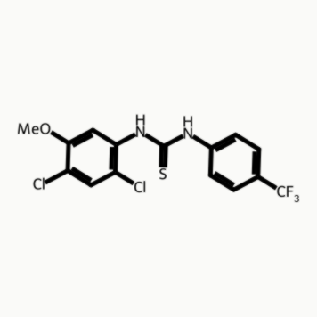 COc1cc(NC(=S)Nc2ccc(C(F)(F)F)cc2)c(Cl)cc1Cl